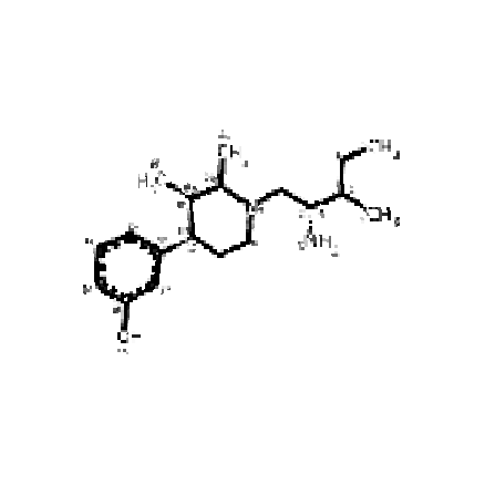 CCC(C)[C@H](N)CN1CC[C@@H](c2cccc(O)c2)[C@@H](C)C1C